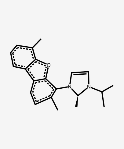 Cc1ccc2c(oc3c(C)cccc32)c1N1C=CN(C(C)C)[C@H]1C